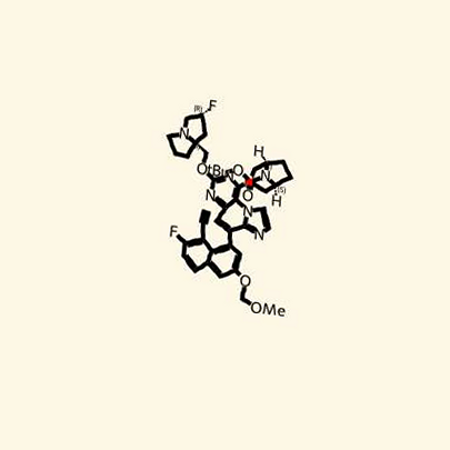 C#Cc1c(F)ccc2cc(OCOC)cc(-c3cc4nc(OC[C@@]56CCCN5C[C@H](F)C6)nc(N5C[C@H]6CC[C@@H](C5)N6C(=O)OC(C)(C)C)c4n4ccnc34)c12